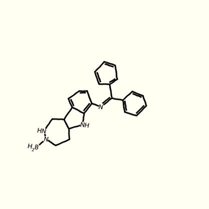 BN1CCC2Nc3c(N=C(c4ccccc4)c4ccccc4)cccc3C2CN1